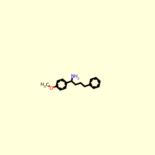 COc1ccc(C(N)CCCc2ccccc2)cc1